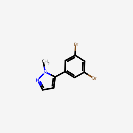 Cn1n[c]cc1-c1cc(Br)cc(Br)c1